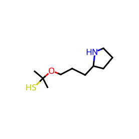 CC(C)(S)OCCCC1CCCN1